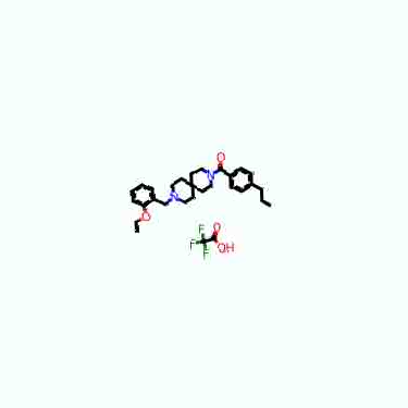 CCCc1ccc(C(=O)N2CCC3(CCN(Cc4ccccc4OCC)CC3)CC2)cc1.O=C(O)C(F)(F)F